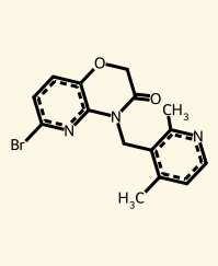 Cc1ccnc(C)c1CN1C(=O)COc2ccc(Br)nc21